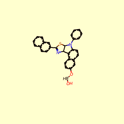 OBOc1ccc2c3c(ccc2c1)N(c1ccccc1)C1SC(c2ccc4ccccc4c2)=NC31